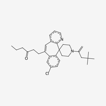 C=C(CC(C)(C)C)N1CCC2(CC1)c1ccc(Cl)cc1C(CCC(=O)CCC)=Cc1cccnc12